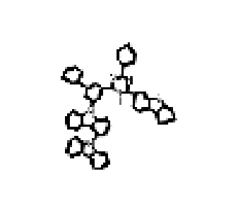 c1ccc(C2=NC(c3cc(-c4ccccc4)cc(-n4c5ccccc5c5c(-n6c7ccccc7c7ccccc76)cccc54)c3)NC(c3ccc4c(c3)sc3ccccc34)=N2)cc1